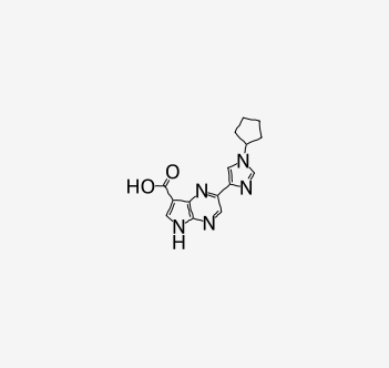 O=C(O)c1c[nH]c2ncc(-c3cn(C4CCCC4)cn3)nc12